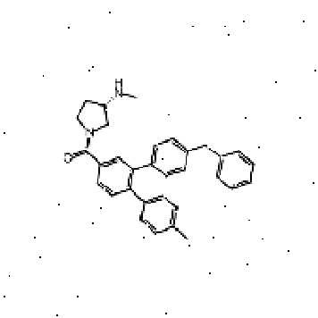 CN[C@H]1CCN(C(=O)c2ccc(-c3ccc(C)cc3)c(-c3ccc(Cc4ccccc4)cc3)c2)C1